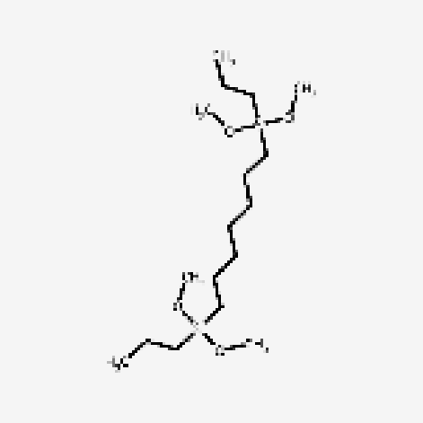 CCC[Si](CCCCCCC[Si](CCC)(OC)OC)(OC)OC